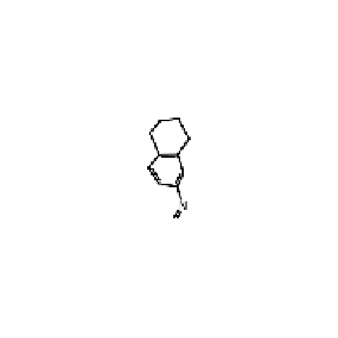 C=Nc1ccc2c(c1)CCCC2